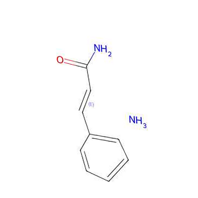 N.NC(=O)/C=C/c1ccccc1